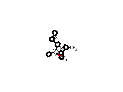 FC(F)(F)c1ccc2c(c1)c1cc(C(F)(F)F)ccc1n2-c1ccc(-c2cccc3c2sc2ccccc23)cc1-c1nc(-c2ccccc2)nc(-c2ccccc2)n1